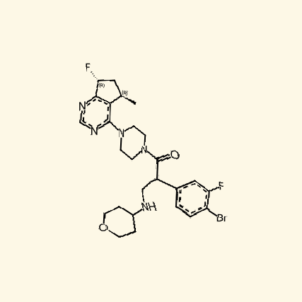 C[C@@H]1C[C@@H](F)c2ncnc(N3CCN(C(=O)C(CNC4CCOCC4)c4ccc(Br)c(F)c4)CC3)c21